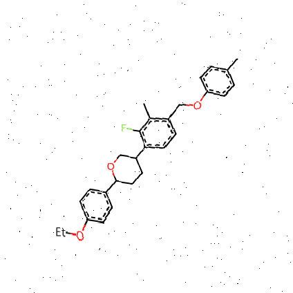 CCOc1ccc(C2CCC(c3ccc(COc4ccc(C)cc4)c(C)c3F)CO2)cc1